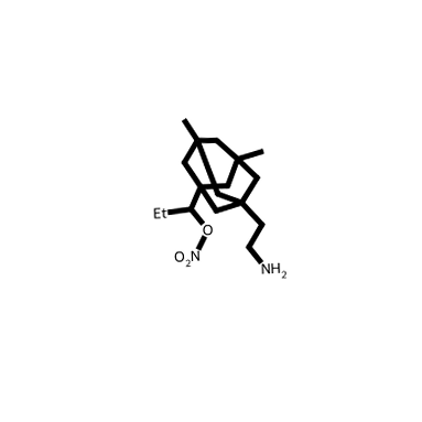 CCC(O[N+](=O)[O-])C12CC3(C)CC(C)(CC(CCN)(C3)C1)C2